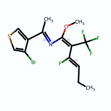 CC/C=C(F)/C(=C(\N=C(/C)c1cscc1Br)OC)C(F)(F)F